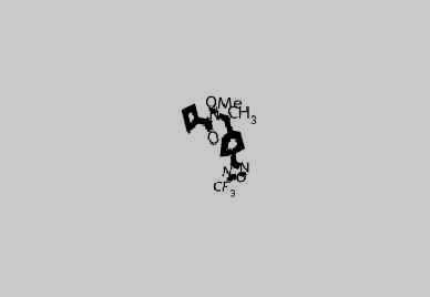 CON(C(=O)C1CCC1)C(C)c1ccc(-c2noc(C(F)(F)F)n2)cc1